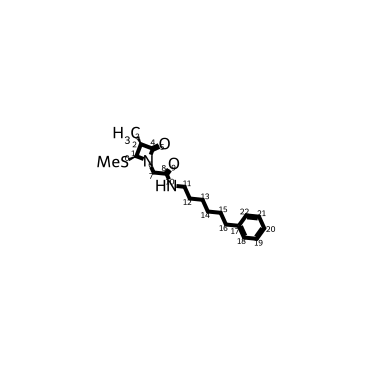 CS[C@H]1[C@@H](C)C(=O)N1CC(=O)NCCCCCCc1ccccc1